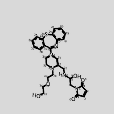 O=C1C=CC(=O)N1CC(O)NCC1CN(C2=Nc3ccccc3Sc3ccccc32)CCN1CCOCCO